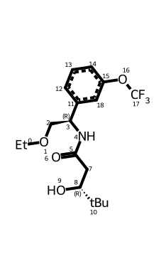 CCOC[C@H](NC(=O)C[C@@H](O)C(C)(C)C)c1cccc(OC(F)(F)F)c1